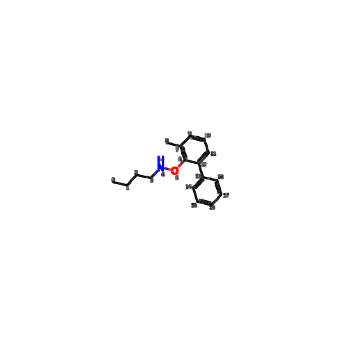 CCCCNOc1c(C)cccc1-c1ccccc1